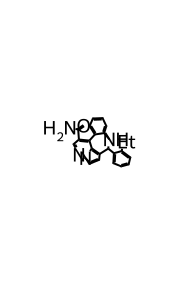 CCc1ccccc1C1Nc2ccccc2-c2c(C(N)=O)cnn3ccc1c23